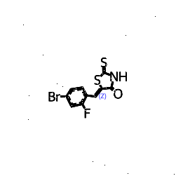 O=C1NC(=S)S/C1=C\c1ccc(Br)cc1F